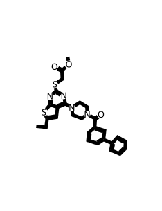 CCc1cc2c(N3CCN(C(=O)c4cccc(-c5ccccc5)c4)CC3)nc(SCC(=O)OC)nc2s1